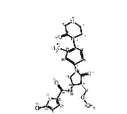 COC[C@H]1C(=O)N(c2ccc(N3CCOCC3=O)c(C)c2)C[C@@H]1NC(=O)c1ccc(Cl)s1